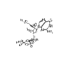 CC#CC1(O)[C@@H](O)[C@@H](COP(=O)(O)OP(=O)(O)OP(=O)(O)O)O[C@H]1n1cnc2c(=O)[nH]c(N)nc21